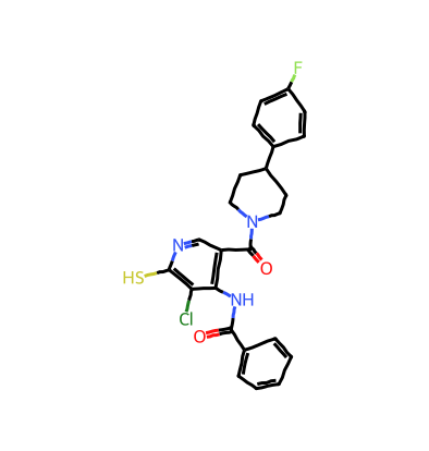 O=C(Nc1c(C(=O)N2CCC(c3ccc(F)cc3)CC2)cnc(S)c1Cl)c1ccccc1